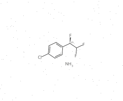 FC(F)[C@H](F)c1ccc(Cl)cc1.N